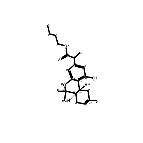 CCCCOC(=O)C(C)c1cc(O)c2c(c1)OC(C)(C)[C@@H]1CC=C(C)C[C@@H]21